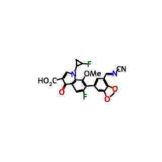 COc1c(-c2cc(/C=N/C#N)c3c(c2)OCO3)c(F)cc2c(=O)c(C(=O)O)cn(C3CC3F)c12